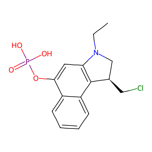 CCN1C[C@@H](CCl)c2c1cc(OP(=O)(O)O)c1ccccc21